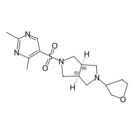 Cc1ncc(S(=O)(=O)N2C[C@H]3CN(C4CCOC4)C[C@H]3C2)c(C)n1